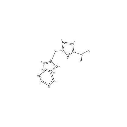 CC(C)c1nnc(Cc2nc3ccccc3o2)o1